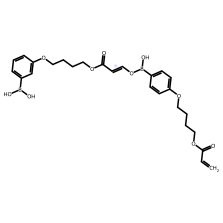 C=CC(=O)OCCCCOc1ccc(B(O)O/C=C/C(=O)OCCCCOc2cccc(B(O)O)c2)cc1